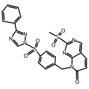 CS(=O)(=O)c1ncc2ccc(=O)n(Cc3ccc(S(=O)(=O)n4cnc(-c5ccccc5)n4)cc3)c2n1